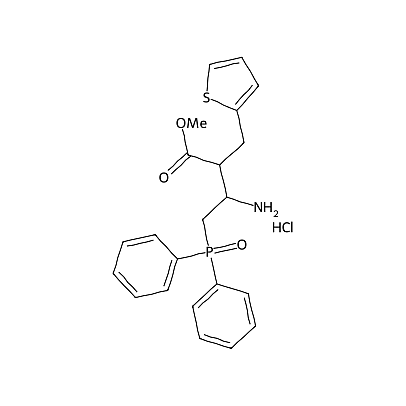 COC(=O)C(Cc1cccs1)C(N)CP(=O)(c1ccccc1)c1ccccc1.Cl